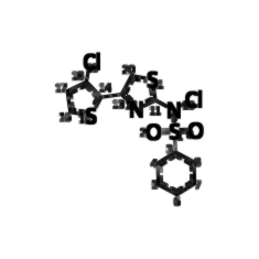 O=S(=O)(c1ccccc1)N(Cl)c1nc(-c2sccc2Cl)cs1